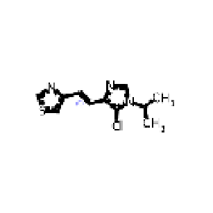 CC(C)n1cnc(/C=C/c2cscn2)c1Cl